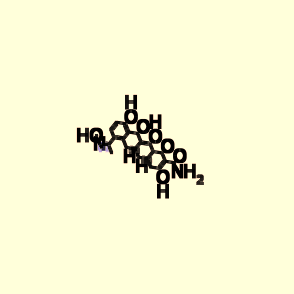 C/C(=N/O)c1ccc(O)c2c1C[C@H]1C[C@H]3CC(O)=C(C(N)=O)C(=O)C3C(O)=C1C2=O